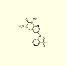 CS(=O)(=O)c1ccccc1Oc1cnc2c(c1)C[C@H](N)C(=O)N2O